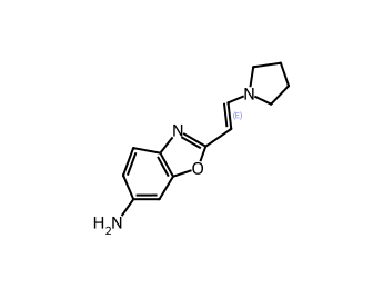 Nc1ccc2nc(/C=C/N3CCCC3)oc2c1